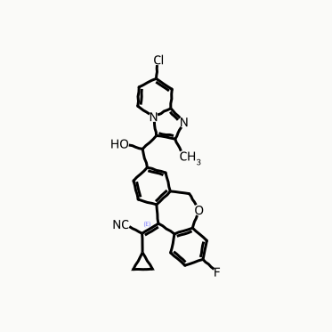 Cc1nc2cc(Cl)ccn2c1C(O)c1ccc2c(c1)COc1cc(F)ccc1/C2=C(/C#N)C1CC1